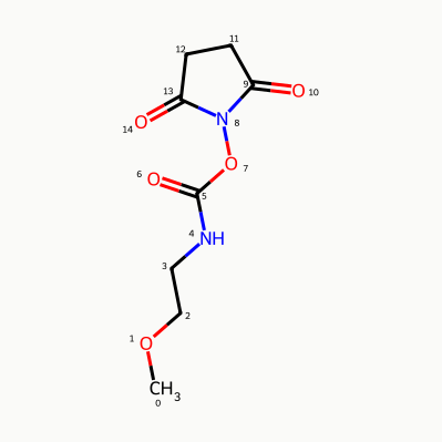 COCCNC(=O)ON1C(=O)CCC1=O